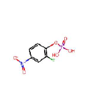 O=[N+]([O-])c1ccc(OP(=O)(O)O)c(F)c1